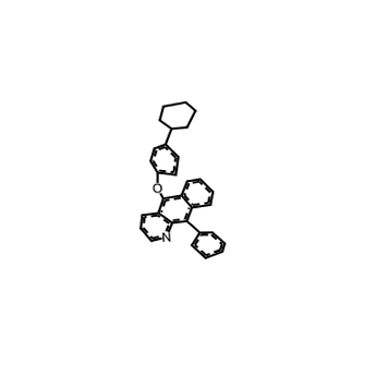 c1ccc(-c2c3ccccc3c(Oc3ccc(C4CCCCC4)cc3)c3cccnc23)cc1